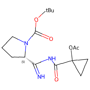 CC(=O)OC1(C(=O)NC(=N)[C@@H]2CCCN2C(=O)OC(C)(C)C)CC1